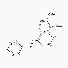 COc1ccc2c(/C=C/c3ccccc3)ccnc2c1OC